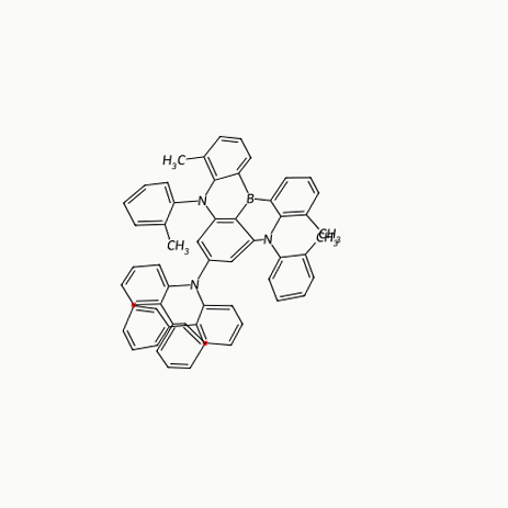 Cc1ccccc1N1c2cc(N(c3ccccc3-c3ccccc3)c3ccccc3-c3ccccc3)cc3c2B(c2cccc(C)c21)c1cccc(C)c1N3c1ccccc1C